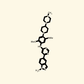 CNc1cc(Nc2cc(-c3ccc4c(cnn4C)c3)ncn2)c(OC)cc1N1CCC(N2CCN(C)CC2)CC1